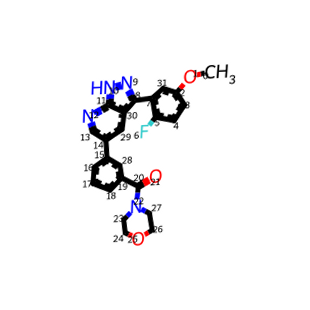 COc1ccc(F)c(-c2n[nH]c3ncc(-c4cccc(C(=O)N5CCOCC5)c4)cc23)c1